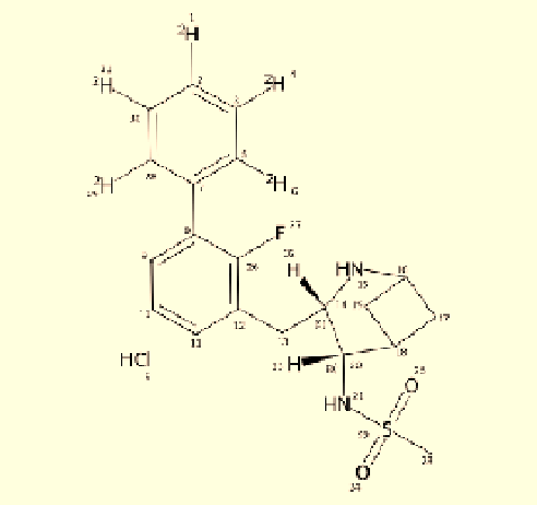 Cl.[2H]c1c([2H])c([2H])c(-c2cccc(C[C@@H]3NC4CC(C4)[C@@H]3NS(C)(=O)=O)c2F)c([2H])c1[2H]